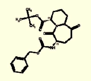 CC(C)(C)OC(=O)[C@@H]1CCCN2C(=O)CC[C@H](NC(=O)OCc3ccccc3)C(=O)N12